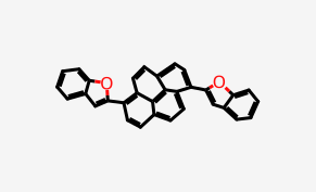 c1ccc2oc(-c3ccc4ccc5c(-c6cc7ccccc7o6)ccc6ccc3c4c65)cc2c1